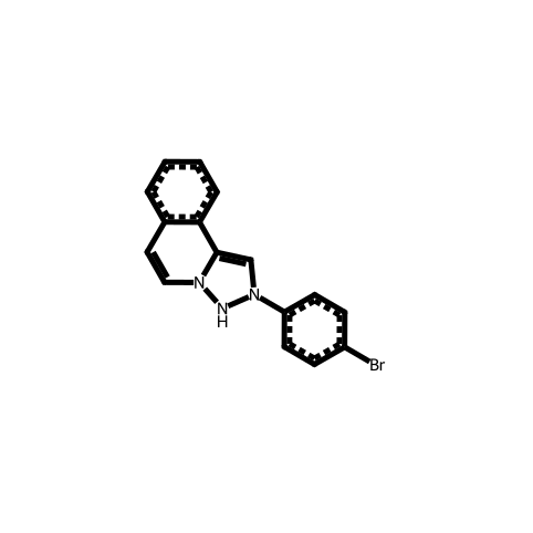 Brc1ccc(N2C=C3c4ccccc4C=CN3N2)cc1